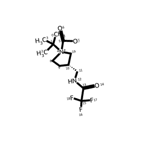 CC(C)(C)[N+]1(C(=O)[O-])CC[C@@H](CNC(=O)C(F)(F)F)C1